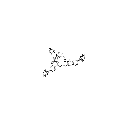 O=C(NCc1cncs1)OC(CCCN(Cc1ccc(-n2cncn2)cc1)C(=O)OCc1cncs1)c1ccc(-n2cncn2)cc1